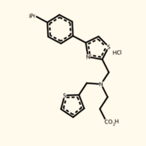 CC(C)c1ccc(-c2csc(CN(CCC(=O)O)Cc3cccs3)n2)cc1.Cl